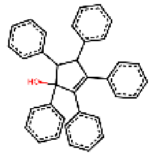 OC1(c2ccccc2)C(c2ccccc2)=C(c2ccccc2)C(c2ccccc2)C1c1ccccc1